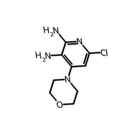 Nc1nc(Cl)cc(N2CCOCC2)c1N